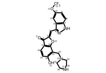 O=C1C(=Cc2n[nH]c3ccc(OC(F)(F)F)cc23)Oc2c1ccc(O)c2CN1CCNCC1